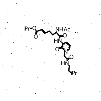 CC(=O)N[C@@H](CC/C=C/C(=O)OC(C)C)C(=O)Nc1cccn(CC(=O)NCCC(C)C)c1=O